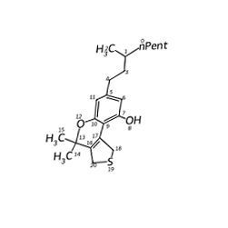 CCCCCC(C)CCc1cc(O)c2c(c1)OC(C)(C)C1=C2CSC1